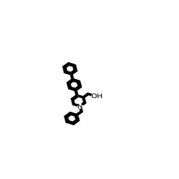 OCC1CN(Cc2ccccc2)CC=C1c1ccc(-c2ccccc2)cc1